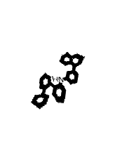 c1ccc(-c2ccccc2-c2ccccc2Nc2cccc(-c3cccc4ccccc34)c2)cc1